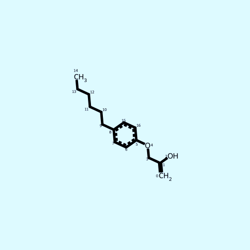 C=C(O)COc1ccc(CCCCCC)cc1